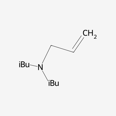 C=CCN(C(C)CC)C(C)CC